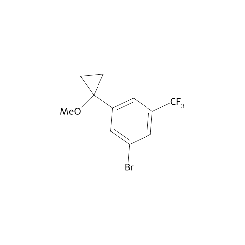 COC1(c2cc(Br)cc(C(F)(F)F)c2)CC1